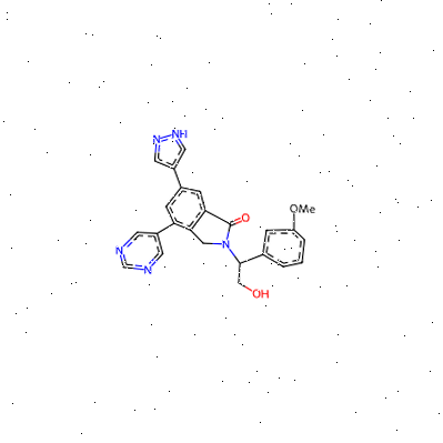 COc1cccc(C(CO)N2Cc3c(cc(-c4cn[nH]c4)cc3-c3cncnc3)C2=O)c1